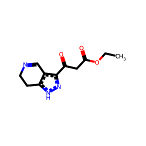 CCOC(=O)CC(=O)c1n[nH]c2c1C=NCC2